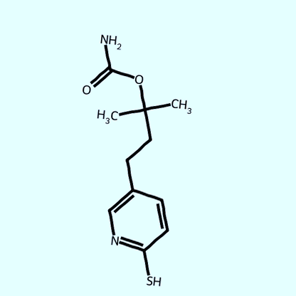 CC(C)(CCc1ccc(S)nc1)OC(N)=O